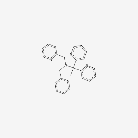 CC(c1ccccn1)(c1ccccn1)N(Cc1ccccc1)Cc1ccccn1